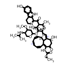 COC(=O)NC1=C2C#C/C=C\C#C[C@H](OC3OC(C)C(C(=O)C4=NCCc5c4[nH]c4ccc(O)cc54)C(O)C3OC3CC(OC)C(NC(C)C)CO3)C2/C(=C\CS(C)=S)[C@@H](O)CC1=O